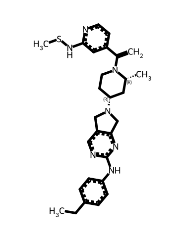 C=C(c1ccnc(NSC)c1)N1CC[C@@H](N2Cc3cnc(Nc4ccc(CC)cc4)nc3C2)C[C@H]1C